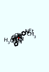 [CH2]CC(C)=Nc1ccc(-n2ncc3c(N(c4ccccc4)N(S(C)(=O)=O)S(C)(=O)=O)ncnc32)cc1